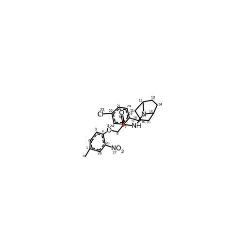 Cc1ccc(OCC(=O)NC2CC3CCC(C2)N3Cc2ccc(Cl)cc2)c([N+](=O)[O-])c1